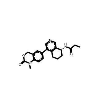 CCC(=O)N[C@@H]1CCCc2c(-c3ccc4c(c3)COC(=O)N4C)cncc21